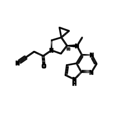 CN(c1ncnc2[nH]ccc12)[C@H]1CN(C(=O)CC#N)CC12CC2